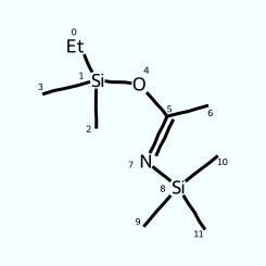 CC[Si](C)(C)OC(C)=N[Si](C)(C)C